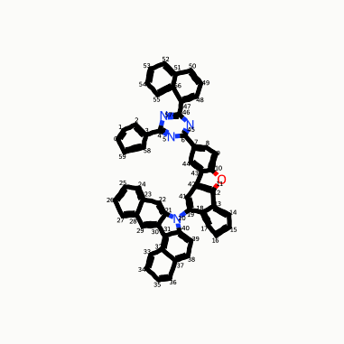 c1ccc(-c2nc(-c3ccc4oc5c6ccccc6c(-n6c7cc8ccccc8cc7c7c8ccccc8ccc76)cc5c4c3)nc(-c3cccc4ccccc34)n2)cc1